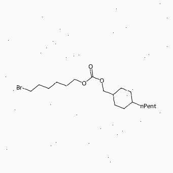 CCCCCC1CCC(COC(=O)OCCCCCCBr)CC1